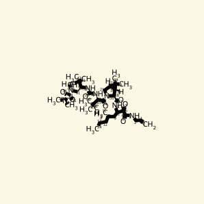 C=CCNC(=O)C(=O)C(CC(C)CCC)NC(=O)[C@@H]1[C@@H]2[C@H](CN1C(=O)[C@@H](NC(=O)N[C@H](CN(C)S(=O)(=O)N(C)C)C(C)(C)C)C(C)(C)C)C2(C)C